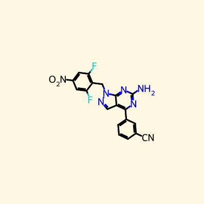 N#Cc1cccc(-c2nc(N)nc3c2cnn3Cc2c(F)cc([N+](=O)[O-])cc2F)c1